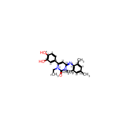 CCn1c(-c2ccc(O)c(O)c2)c/c(=N/c2c(C)cc(C)cc2C)n(C)c1=O